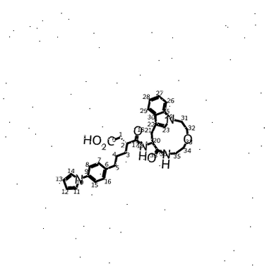 O=C(O)C[C@@H](CCCc1ccc(-n2cccc2)cc1)C(=O)NC1Cc2cn(c3ccccc23)CCOCCNC1=O